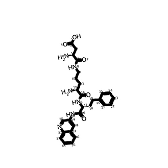 N[C@@H](CC(=O)O)C(=O)NCCC[C@H](N)C(=O)N[C@H](CCc1ccccc1)C(=O)Nc1cnc2ccccc2c1